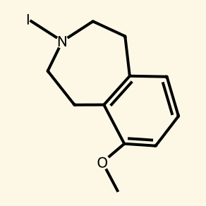 COc1cccc2c1CCN(I)CC2